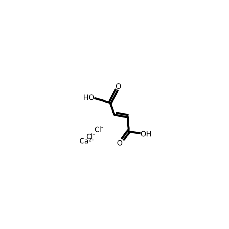 O=C(O)C=CC(=O)O.[Ca+2].[Cl-].[Cl-]